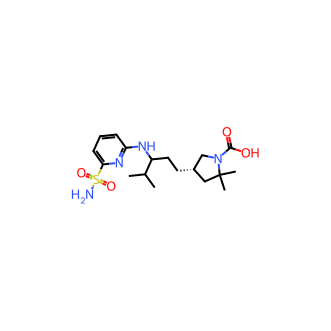 CC(C)C(CC[C@@H]1CN(C(=O)O)C(C)(C)C1)Nc1cccc(S(N)(=O)=O)n1